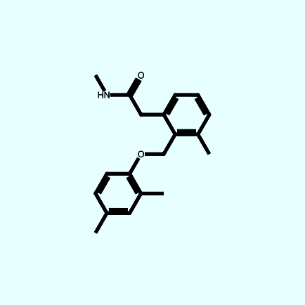 CNC(=O)Cc1cccc(C)c1COc1ccc(C)cc1C